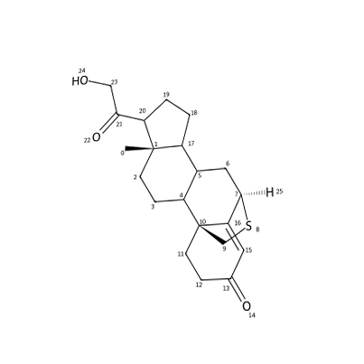 C[C@]12CCC3C(C[C@H]4SC[C@@]35CCC(=O)C=C45)C1CCC2C(=O)CO